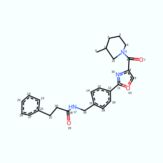 CC1CCCN(C(=O)c2coc(-c3ccc(CNC(=O)CCc4ccccc4)cc3)n2)C1